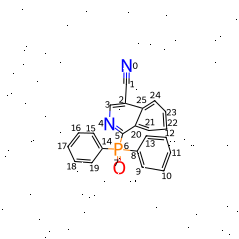 N#Cc1cnc(P(=O)(c2ccccc2)c2ccccc2)c2ccccc12